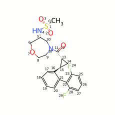 CS(=O)(=O)N[C@H]1COCCN(C(=O)[C@@H]2C[C@H]2c2ccccc2-c2c(F)cccc2F)C1